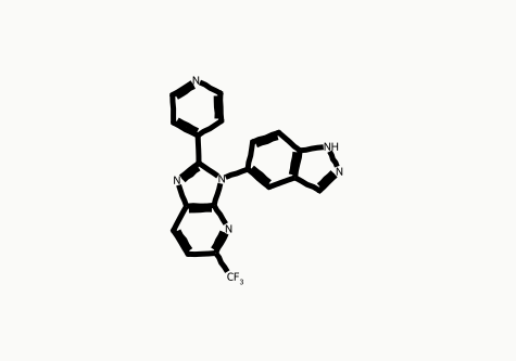 FC(F)(F)c1ccc2nc(-c3ccncc3)n(-c3ccc4[nH]ncc4c3)c2n1